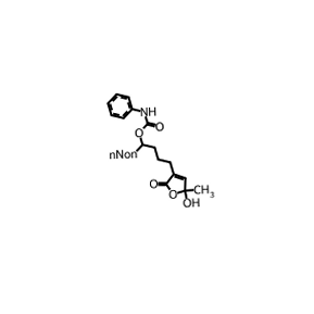 CCCCCCCCCC(CCCC1=CC(C)(O)OC1=O)OC(=O)Nc1ccccc1